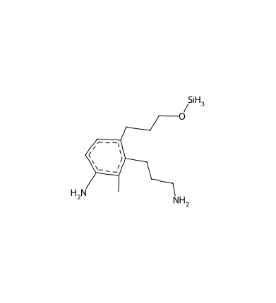 Cc1c(N)ccc(CCCO[SiH3])c1CCCN